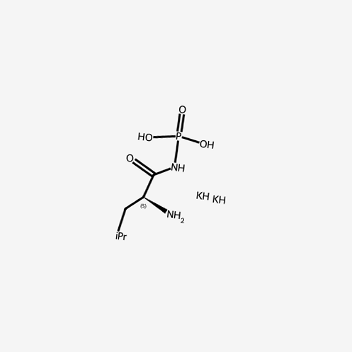 CC(C)C[C@H](N)C(=O)NP(=O)(O)O.[KH].[KH]